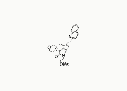 COCCn1cc2c(c(N3CCOCC3)c1=O)C(=O)N(CCc1ccc3ccccc3n1)C2